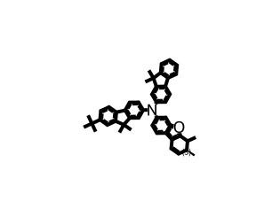 CC1c2oc3cc(N(c4ccc5c(c4)C(C)(C)c4ccccc4-5)c4ccc5c(c4)C(C)(C)c4cc(C(C)(C)C)ccc4-5)ccc3c2C=C[C@@H]1C